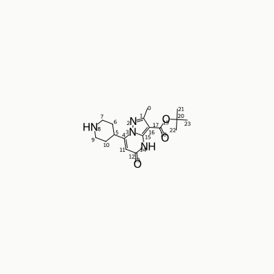 Cc1nn2c(C3CCNCC3)cc(=O)[nH]c2c1C(=O)OC(C)(C)C